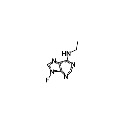 CCNc1ncnc2c1ncn2F